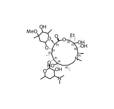 CC[C@H]1OC(=O)[C@H](C)[C@@H](OC2CC(C)(OC)C(O)C(C)O2)[C@@H](C)[C@@H](OC2OC(C)CC(N(C)C)C2O)[C@](C)(O)C[C@@H](C)CN(C)[C@H](C)[C@@H](O)[C@]1(C)O